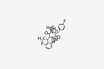 CCC1(Cc2ccc(F)cc2)C(=O)NC(C(C)c2c(F)cccc2C#N)C(=O)N1C